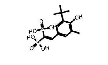 Cc1cc(C=C(P(=O)(O)O)P(=O)(O)O)cc(C(C)(C)C)c1O